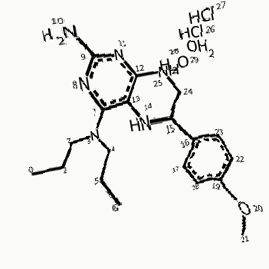 CCCN(CCC)c1nc(N)nc2c1NC(c1ccc(OC)cc1)CN2.Cl.Cl.O.O